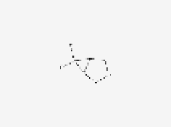 FC1(F)C2C[CH]CC21